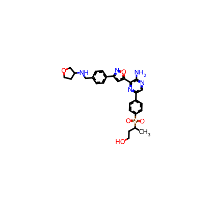 CC(CCO)S(=O)(=O)c1ccc(-c2cnc(N)c(-c3cc(-c4ccc(CNC5CCOC5)cc4)no3)n2)cc1